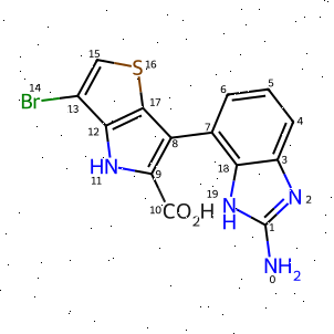 Nc1nc2cccc(-c3c(C(=O)O)[nH]c4c(Br)csc34)c2[nH]1